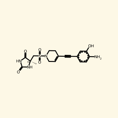 C[C@]1(CS(=O)(=O)N2CC=C(C#Cc3ccc(N)c(O)c3)CC2)NC(=O)NC1=O